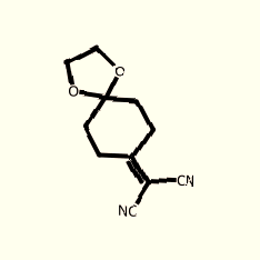 N#CC(C#N)=C1CCC2(CC1)OCCO2